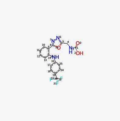 O=C(O)NCc1nnc(-c2ccccc2Nc2ccc(C(F)(F)F)cc2)o1